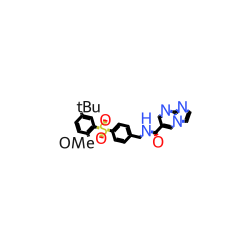 COc1ccc(C(C)(C)C)cc1S(=O)(=O)c1ccc(CNC(=O)c2cnc3nccn3c2)cc1